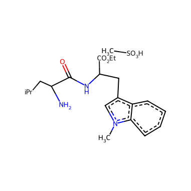 CCOC(=O)C(Cc1cn(C)c2ccccc12)NC(=O)C(N)CC(C)C.CS(=O)(=O)O